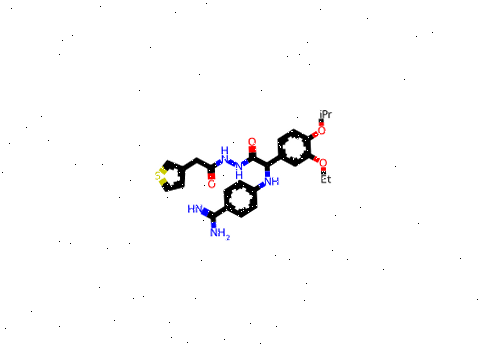 CCOc1cc(C(Nc2ccc(C(=N)N)cc2)C(=O)NNC(=O)Cc2ccsc2)ccc1OC(C)C